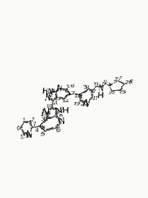 c1ccc(-c2ccnc3[nH]c(-c4n[nH]c5ncc(-c6cncc(CNCC7CCCC7)c6)cc45)nc23)nc1